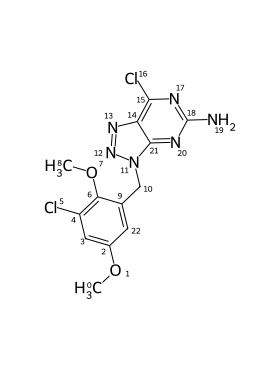 COc1cc(Cl)c(OC)c(Cn2nnc3c(Cl)nc(N)nc32)c1